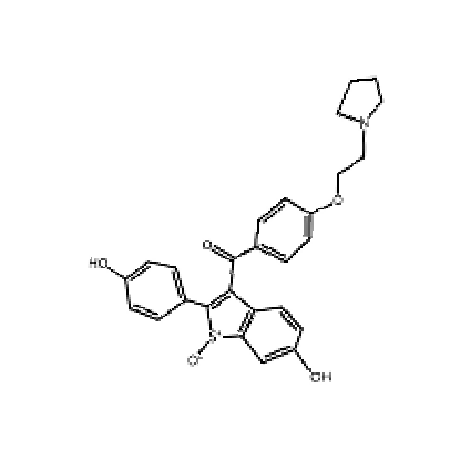 O=C(c1ccc(OCCN2CCCC2)cc1)c1c(-c2ccc(O)cc2)[s+]([O-])c2cc(O)ccc12